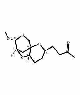 CO[C@@H]1OC[C@]23C[C@H]1O[C@H]2CC[C@H](CCC(C)=O)O3